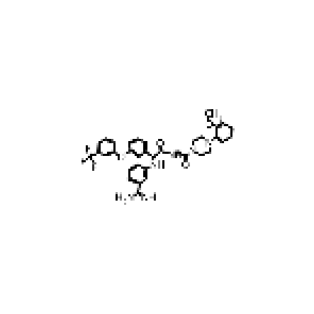 COc1ccccc1N1CCN(C(=O)CNC(=O)C(Nc2cccc(C(=N)N)c2)c2cccc(Oc3cccc(C(F)(F)F)c3)c2)CC1